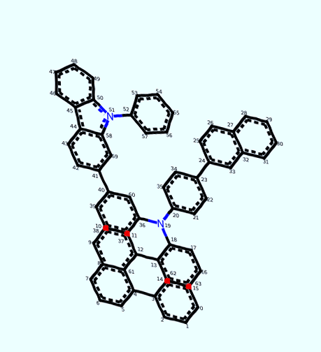 c1ccc(-c2cccc3cccc(-c4ccccc4N(c4ccc(-c5ccc6ccccc6c5)cc4)c4cccc(-c5ccc6c7ccccc7n(-c7ccccc7)c6c5)c4)c23)cc1